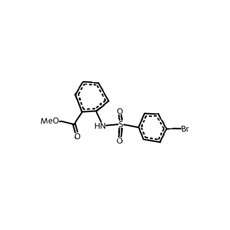 COC(=O)c1ccccc1NS(=O)(=O)c1ccc(Br)cc1